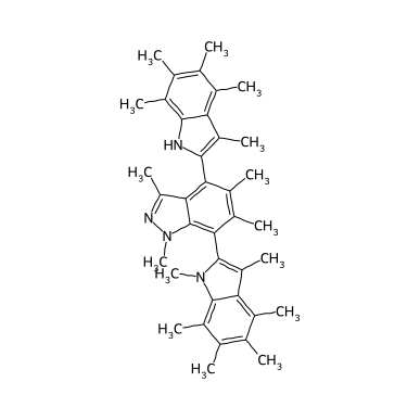 Cc1c(C)c(C)c2c(C)c(-c3c(C)c(C)c(-c4c(C)c5c(C)c(C)c(C)c(C)c5n4C)c4c3c(C)nn4C)[nH]c2c1C